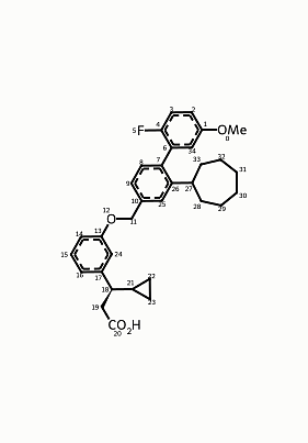 COc1ccc(F)c(-c2ccc(COc3cccc([C@H](CC(=O)O)C4CC4)c3)cc2C2CCCCCC2)c1